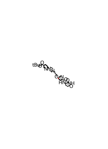 CC(C)(C)OC(=O)c1ccc(N2CCN(CCCOc3ccc(C(=O)NC4CCC(=O)NC4=O)nc3)CC2)nc1